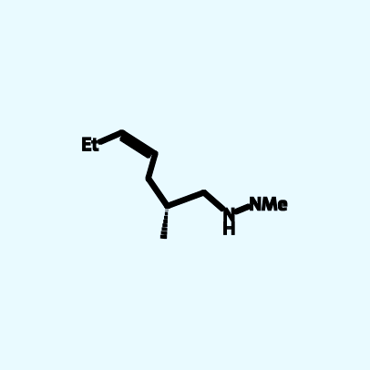 CC/C=C\C[C@@H](C)CNNC